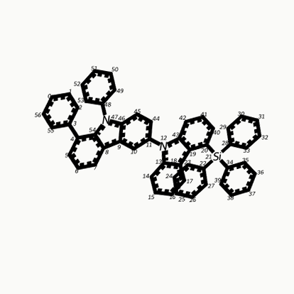 c1ccc(-c2cccc3c4cc(-n5c6ccccc6c6c([Si](c7ccccc7)(c7ccccc7)c7ccccc7)cccc65)ccc4n(-c4ccccc4)c23)cc1